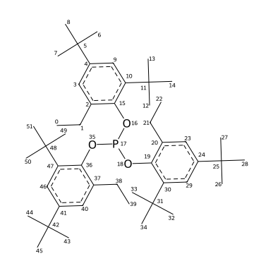 CCc1cc(C(C)(C)C)cc(C(C)(C)C)c1OP(Oc1c(CC)cc(C(C)(C)C)cc1C(C)(C)C)Oc1c(CC)cc(C(C)(C)C)cc1C(C)(C)C